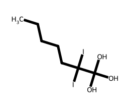 CCCCCC(I)(I)C(O)(O)O